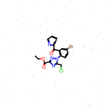 CCOC(=O)c1nc(CCl)n(-c2ccc(Br)cc2C(=O)c2ccccn2)n1